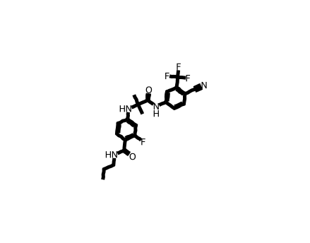 CCCNC(=O)c1ccc(NC(C)(C)C(=O)Nc2ccc(C#N)c(C(F)(F)F)c2)cc1F